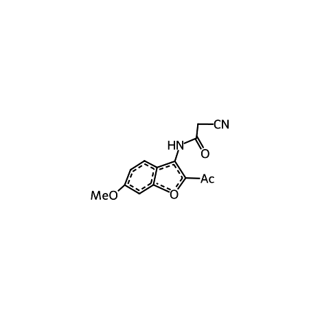 COc1ccc2c(NC(=O)CC#N)c(C(C)=O)oc2c1